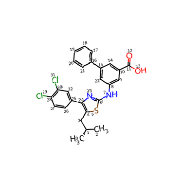 CC(C)Cc1sc(Nc2cc(C(=O)O)cc(-c3ccccc3)c2)nc1-c1ccc(Cl)c(Cl)c1